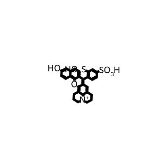 O=S(=O)(O)c1ccc(C2=c3cc4c5c(c3Oc3c2ccc2cc(O)ccc32)CCC[N+]=5CCC4)c(S(=O)(=O)O)c1